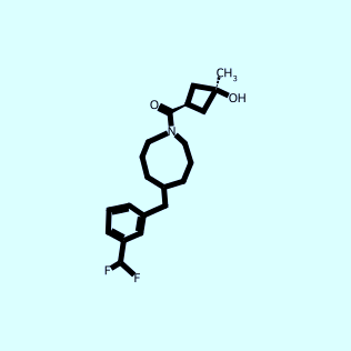 C[C@]1(O)C[C@@H](C(=O)N2CCCC(Cc3cccc(C(F)F)c3)CCC2)C1